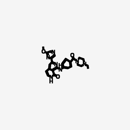 CCN1CCN(C(=O)c2ccc(Nc3nc(-c4cncc(OC)n4)cc4cc[nH]c(=O)c34)cc2)CC1